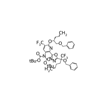 C=CCCC(OCc1ccccc1)(c1nnc(-c2nc(O[C@@H](CC=C)COCc3ccccc3)c(C(F)(F)F)cc2N(C(=O)OC(C)(C)C)C(=O)OC(C)(C)C)o1)C(F)(F)F